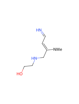 CN/C(=C\C=N)CNCCO